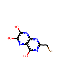 Oc1nc2nc(CS)nc(O)c2nc1O